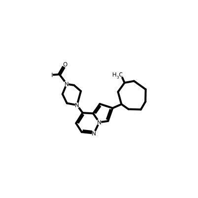 CC1CCCCCC(c2cc3c(N4CCN(C(=O)I)CC4)ccnn3c2)C1